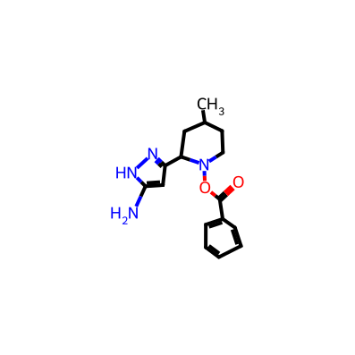 CC1CCN(OC(=O)c2ccccc2)C(c2cc(N)[nH]n2)C1